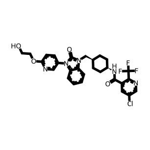 O=C(N[C@H]1CC[C@H](Cn2c(=O)n(-c3ccc(OCCO)nc3)c3ccccc32)CC1)c1cc(Cl)cnc1C(F)(F)F